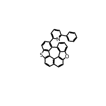 c1ccc(-c2cccc(-c3ccc4sc5ccc6ccc7oc8cccc9c8c7c6c5c4c3-9)n2)cc1